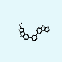 COc1cc2c(oc3ccc(-c4cccc(-c5ccc6oc7sccc7c6c5)c4)cc32)s1